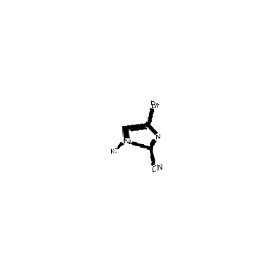 N#Cc1nc(Br)cn1C#N